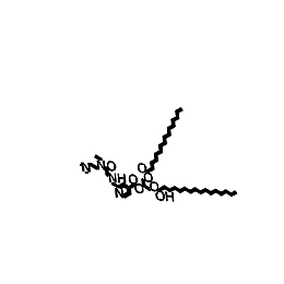 CCCCCCCCCCCCCCCC(=O)OCC(COC(O)CCCCCCCCCCCCCCC)OC(=O)c1ccnc(CNCC(=O)N(CC)CCN(C)C)c1